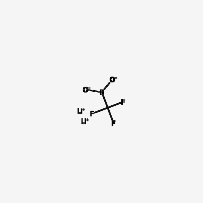 [Li+].[Li+].[O-]B([O-])C(F)(F)F